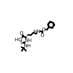 CC(C)(C)NC(=S)N[C@@H](CCCCNC(=O)OCc1ccccc1)C(=O)O